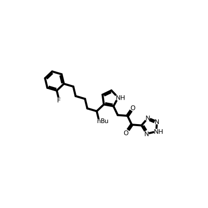 CCCCC(CCCCc1ccccc1F)c1cc[nH]c1CC(=O)C(=O)c1nn[nH]n1